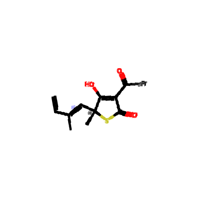 C=C/C(C)=C/[C@@]1(C)SC(=O)C(C(=O)CCC)=C1O